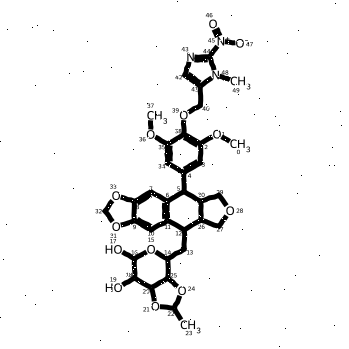 COc1cc(C2c3cc4c(cc3C(CC3OC(O)C(O)C5OC(C)OC35)C3COCC23)OCO4)cc(OC)c1OCc1cnc([N+](=O)[O-])n1C